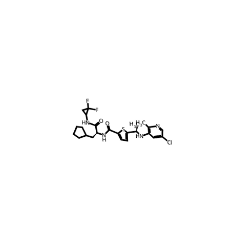 Cc1ncc(Cl)cc1N[C@H](C)c1ccc(C(=O)N[C@@H](CC2CCCC2)C(=O)NC2CC2(F)F)s1